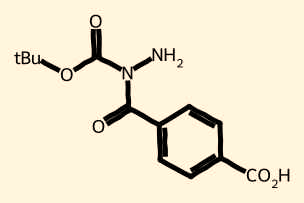 CC(C)(C)OC(=O)N(N)C(=O)c1ccc(C(=O)O)cc1